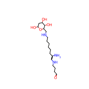 N/C(=C\NCCCC=O)CCCCCCNCC1OC(O)C[C@@H](O)[C@H]1O